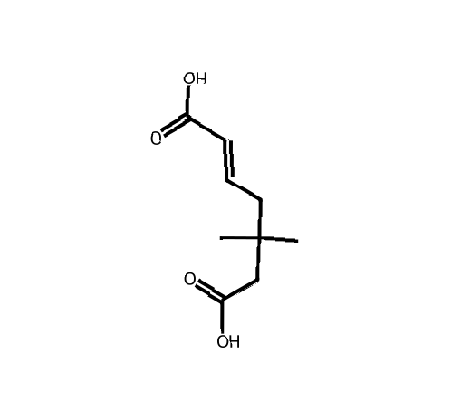 CC(C)(CC=CC(=O)O)CC(=O)O